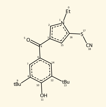 CCn1cc(C(=O)c2cc(C(C)(C)C)c(O)c(C(C)(C)C)c2)cc1SC#N